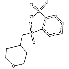 O=S(=O)(Cl)c1ccccc1S(=O)(=O)CC1CCOCC1